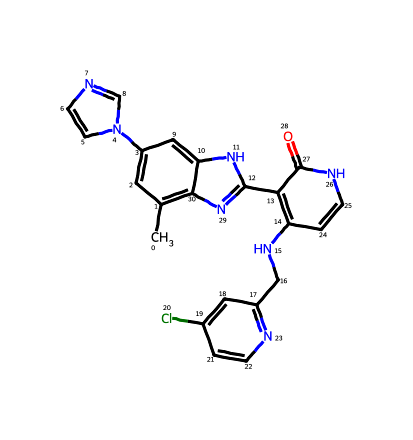 Cc1cc(-n2ccnc2)cc2[nH]c(-c3c(NCc4cc(Cl)ccn4)cc[nH]c3=O)nc12